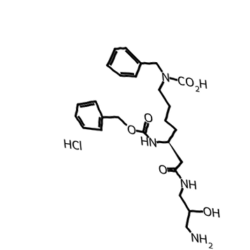 Cl.NCC(O)CNC(=O)C[C@H](CCCCN(Cc1ccccc1)C(=O)O)NC(=O)OCc1ccccc1